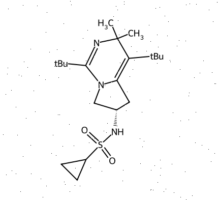 CC(C)(C)C1=NC(C)(C)C(C(C)(C)C)=C2C[C@H](NS(=O)(=O)C3CC3)CN12